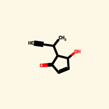 C#CC(C)C1C(=O)C=CC1O